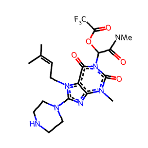 CNC(=O)C(OC(=O)C(F)(F)F)n1c(=O)c2c(nc(N3CCNCC3)n2CC=C(C)C)n(C)c1=O